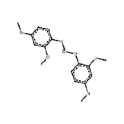 COc1ccc([O][Zr][O]c2ccc(OC)cc2OC)c(OC)c1